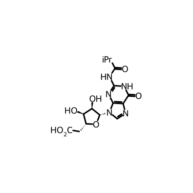 CC(C)C(=O)Nc1nc2c(ncn2[C@@H]2O[C@H](CC(=O)O)[C@@H](O)[C@H]2O)c(=O)[nH]1